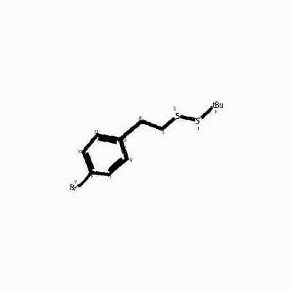 CC(C)(C)SSCCc1ccc(Br)cc1